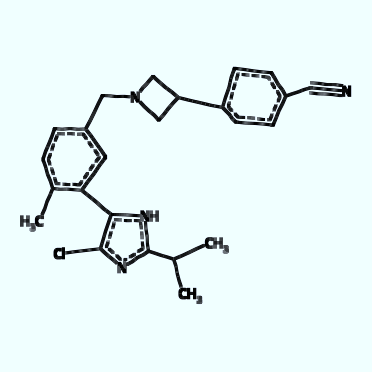 Cc1ccc(CN2CC(c3ccc(C#N)cc3)C2)cc1-c1[nH]c(C(C)C)nc1Cl